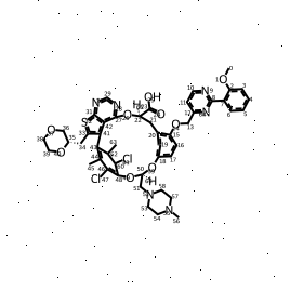 COc1ccccc1-c1nccc(COc2ccc3cc2C[C@H](C(=O)O)Oc2ncnc4sc(C[C@H]5COCCO5)c(c24)C2=C(C)C(Cl)=C(O[C@H](CN4CCN(C)CC4)O3)C(Cl)C2C)n1